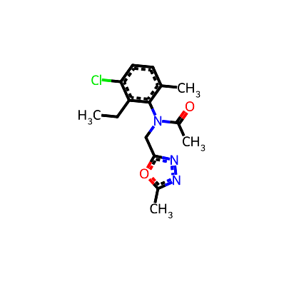 CCc1c(Cl)ccc(C)c1N(Cc1nnc(C)o1)C(C)=O